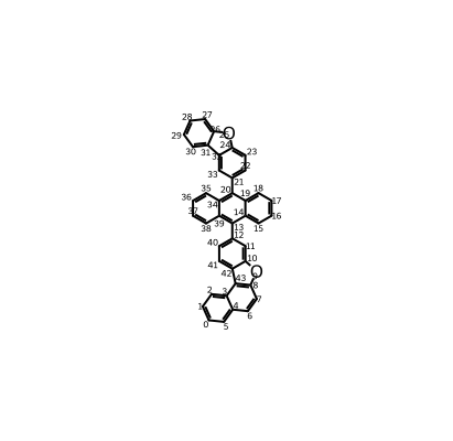 c1ccc2c(c1)ccc1oc3cc(-c4c5ccccc5c(-c5ccc6oc7ccccc7c6c5)c5ccccc45)ccc3c12